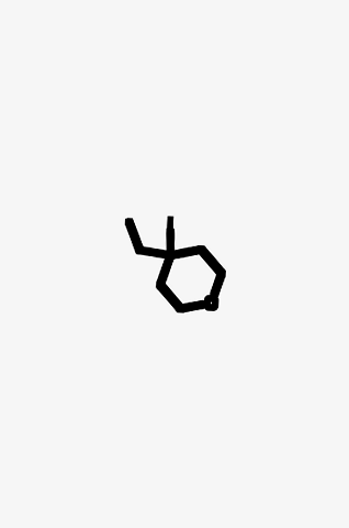 CCC1(I)CCOCC1